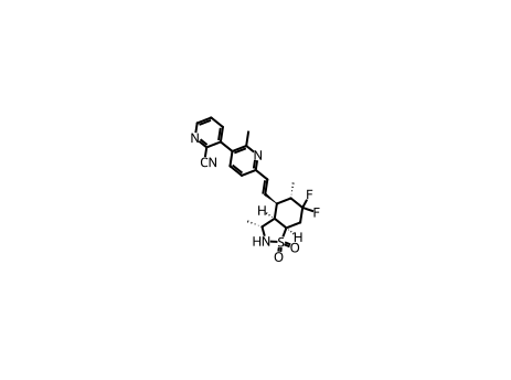 Cc1nc(/C=C/[C@@H]2[C@H]3[C@@H](CC(F)(F)[C@H]2C)S(=O)(=O)N[C@@H]3C)ccc1-c1cccnc1C#N